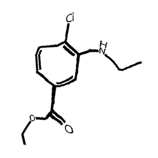 CCNc1cc(C(=O)OC)ccc1Cl